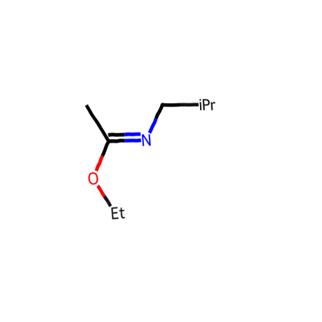 CCOC(C)=NCC(C)C